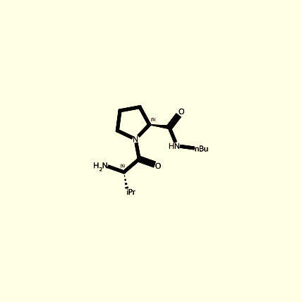 CCCCNC(=O)[C@@H]1CCCN1C(=O)[C@@H](N)C(C)C